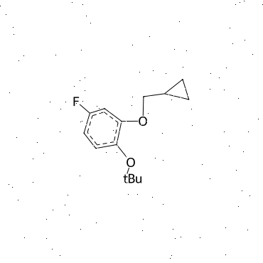 CC(C)(C)Oc1ccc(F)cc1OCC1CC1